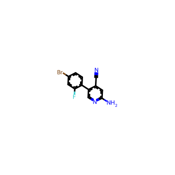 N#Cc1cc(N)ncc1-c1ccc(Br)cc1F